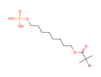 CC(C)(Br)C(=O)OCCCCCCCCOP(=O)(O)O